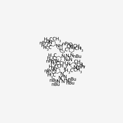 CCCCN(CCCC)c1nc(N(CCCC)CCCC)nc(N(CCCCN(c2nc(N(CCCC)C3CC(C)(C)N(OCCC)C(C)(C)C3)nc(N(CCCCNC3CC(C)(C)N(OCCC)C(C)(C)C3)C3CC(C)(C)N(OCCC)C(C)(C)C3)n2)C2CC(C)(C)N(OCCC)C(C)(C)C2)C2CC(C)(C)N(OCCC)C(C)(C)C2)n1